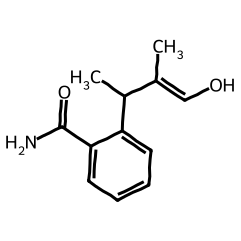 CC(=CO)C(C)c1ccccc1C(N)=O